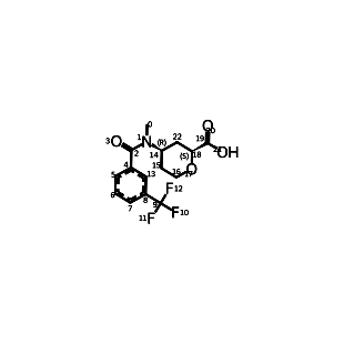 CN(C(=O)c1cccc(C(F)(F)F)c1)[C@@H]1CCO[C@H](C(=O)O)C1